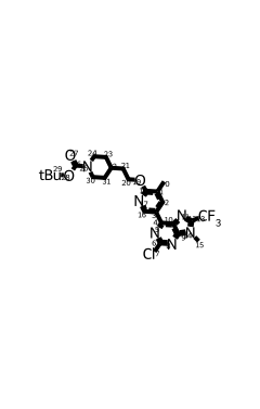 Cc1cc(-c2nc(Cl)nc3c2nc(C(F)(F)F)n3C)cnc1OCCC1CCN(C(=O)OC(C)(C)C)CC1